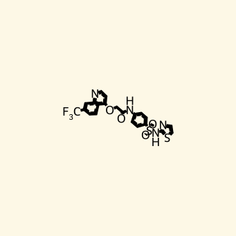 O=C(COc1ccnc2cc(C(F)(F)F)ccc12)Nc1ccc(S(=O)(=O)Nc2nccs2)cc1